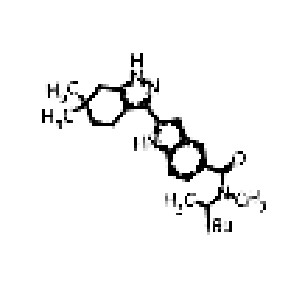 CC(N(C)C(=O)c1ccc2[nH]c(-c3n[nH]c4c3CCC(C)(C)C4)cc2c1)C(C)(C)C